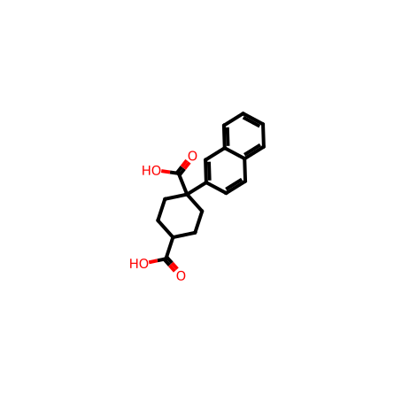 O=C(O)C1CCC(C(=O)O)(c2ccc3ccccc3c2)CC1